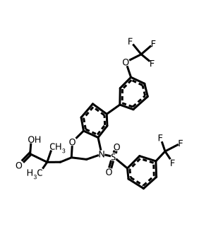 CC(C)(CC1CN(S(=O)(=O)c2cccc(C(F)(F)F)c2)c2cc(-c3cccc(OC(F)(F)F)c3)ccc2O1)C(=O)O